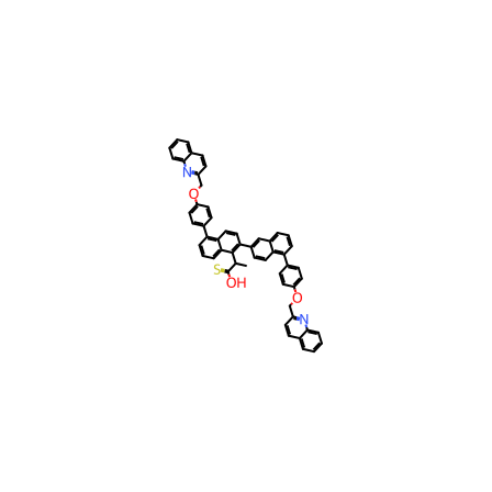 CC(C(O)=S)c1c(-c2ccc3c(-c4ccc(OCc5ccc6ccccc6n5)cc4)cccc3c2)ccc2c(-c3ccc(OCc4ccc5ccccc5n4)cc3)cccc12